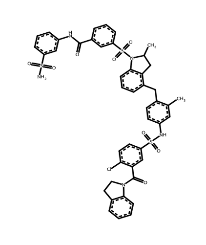 Cc1cc(NS(=O)(=O)c2ccc(Cl)c(C(=O)N3CCc4ccccc43)c2)ccc1Cc1cccc2c1CC(C)N2S(=O)(=O)c1cccc(C(=O)Nc2cccc(S(N)(=O)=O)c2)c1